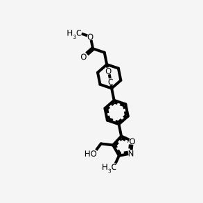 COC(=O)CC12CCC(c3ccc(-c4onc(C)c4CO)cc3)(CC1)CO2